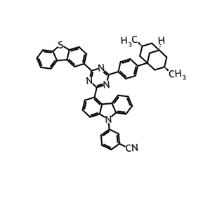 C[C@@H]1C[C@@H]2C[C@H](C)CC(c3ccc(-c4nc(-c5ccc6sc7ccccc7c6c5)nc(-c5cccc6c5c5ccccc5n6-c5cccc(C#N)c5)n4)cc3)(C1)C2